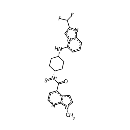 Cn1ccc2c(C(=O)[N+](=S)[C@H]3CC[C@@H](Nc4cccc5nc(C(F)F)cn45)CC3)ccnc21